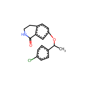 CC(Oc1ccc2c(c1)C(=O)NCC2)c1ccc(Cl)cc1